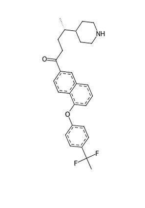 C[C@@H](CCC(=O)c1ccc2c(Oc3ccc(C(C)(F)F)cc3)cccc2c1)C1CCNCC1